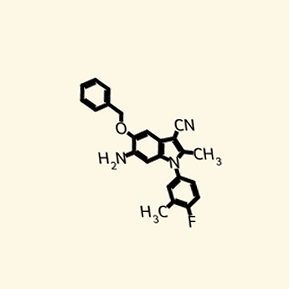 Cc1cc(-n2c(C)c(C#N)c3cc(OCc4ccccc4)c(N)cc32)ccc1F